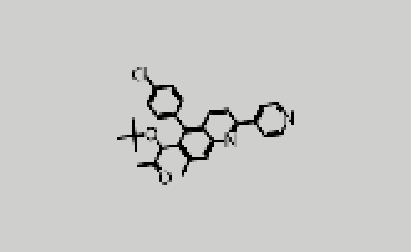 CC(=O)[C@@H](OC(C)(C)C)c1c(C)cc2nc(-c3ccncc3)ccc2c1-c1ccc(Cl)cc1